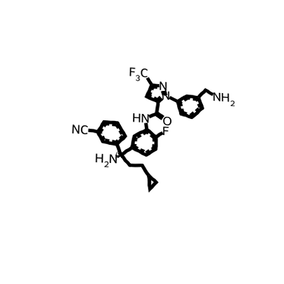 N#Cc1cccc([C@@](N)(CCC2CC2)c2ccc(F)c(NC(=O)c3cc(C(F)(F)F)nn3-c3cccc(CN)c3)c2)c1